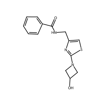 O=C(NCc1csc(N2CC(O)C2)n1)c1ccccc1